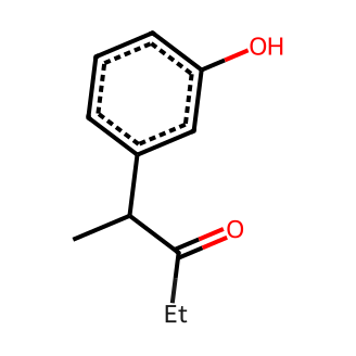 CCC(=O)C(C)c1cccc(O)c1